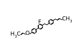 C/C=C/COCc1ccc(-c2ccc(CCc3ccc(C/C=C/CC)cc3)c(F)c2)cc1